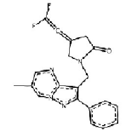 Cc1cnc2c(CN3CC(=C=C(F)F)CC3=O)c(-c3ccccc3)nn2c1